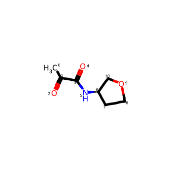 CC(=O)C(=O)N[C@@H]1CCOC1